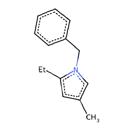 CCc1cc(C)cn1Cc1ccccc1